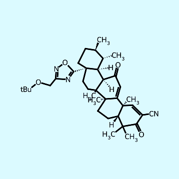 C[C@@H]1[C@H]2[C@H]3C(=O)C=C4[C@@]5(C)C=C(C#N)C(=O)C(C)(C)[C@@H]5CC[C@@]4(C)[C@]3(C)CC[C@@]2(c2nc(COC(C)(C)C)no2)CC[C@H]1C